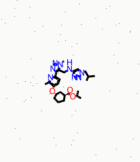 Cc1nc(-c2nnn(C)c2CNc2cn(CC(C)C)nn2)ccc1O[C@H]1CCC[C@H](C(=O)OC(C)C)C1